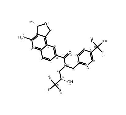 C[C@@H]1OCc2c1c(N)nc1ccc(C(=O)N(Cc3ccc(C(F)(F)F)cn3)C[C@H](O)C(F)(F)F)cc21